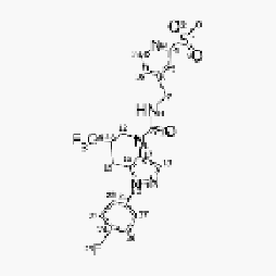 CS(=O)(=O)c1cc(CNC(=O)N2CC(C(F)(F)F)Cc3c2cnn3-c2ccc(F)cc2)ccn1